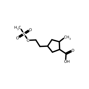 CC1CC(CCOS(C)(=O)=O)CC1C(=O)O